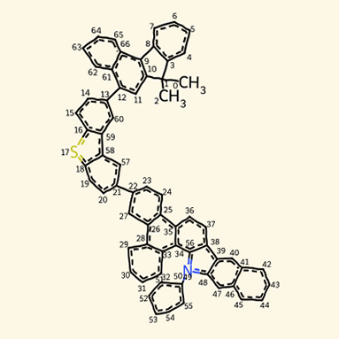 CC1(C)c2ccccc2-c2c1cc(-c1ccc3sc4ccc(-c5ccc6c(c5)c5ccccc5c5c6ccc6c7cc8ccccc8cc7n(-c7ccccc7)c65)cc4c3c1)c1ccccc21